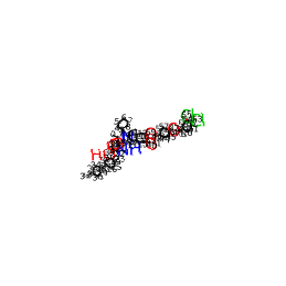 CC[C@@H](c1ccccc1)N1Cc2cc3c(cc2C[C@H]1C(=O)N[C@@H](Cc1ccc(-c2ccc(C)cc2)cc1)C(=O)O)OC[C@H](c1ccc(OCc2ccc(Cl)c(Cl)c2)cc1)O3